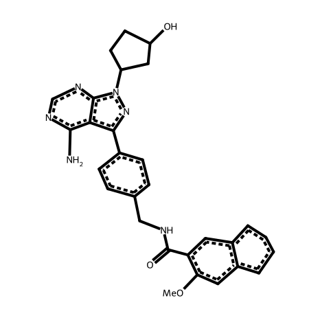 COc1cc2ccccc2cc1C(=O)NCc1ccc(-c2nn(C3CCC(O)C3)c3ncnc(N)c23)cc1